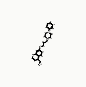 O=CC1C=COc2cc(OCCCN3CCN(c4ccccc4)CC3)ccc21